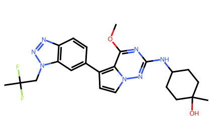 COc1nc(NC2CCC(C)(O)CC2)nn2ccc(-c3ccc4nnn(CC(C)(F)F)c4c3)c12